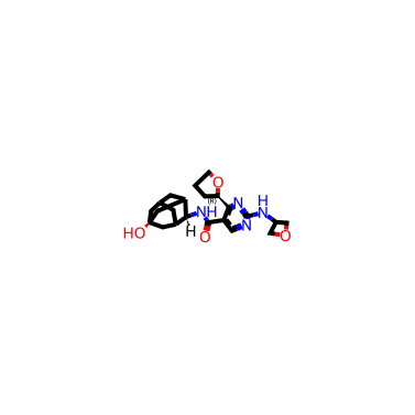 O=C(N[C@H]1C2CC3CC1C[C@@](O)(C3)C2)c1cnc(NC2COC2)nc1[C@H]1CCCO1